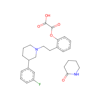 O=C(O)C(=O)Oc1ccccc1CCN1CCCC(c2cccc(F)c2)C1.O=C1CCCCN1